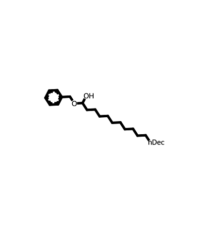 CCCCCCCCCCCCCCCCCCCCC(O)OCc1ccccc1